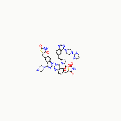 CN1CCN(c2ncnc3ccc(C=C4SC(=O)NC4=O)cc23)CC1.O=C1NC(=O)C(=Cc2ccc3ncnc(N4C(=Cc5ccc6ncnc(N7CCN(c8ncccn8)CC7)c6c5)CC[C@H]4C(=O)O)c3c2)S1